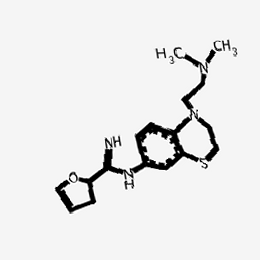 CN(C)CCN1CCSc2cc(NC(=N)C3CC=CO3)ccc21